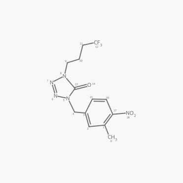 Cc1cc(Cn2nnn(CCCC(F)(F)F)c2=O)ccc1[N+](=O)[O-]